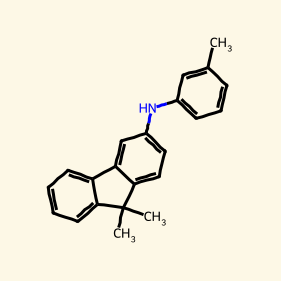 Cc1cccc(Nc2ccc3c(c2)-c2ccccc2C3(C)C)c1